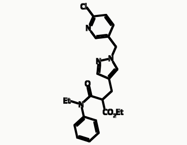 CCOC(=O)C(Cc1cnn(Cc2ccc(Cl)nc2)c1)C(=O)N(CC)c1ccccc1